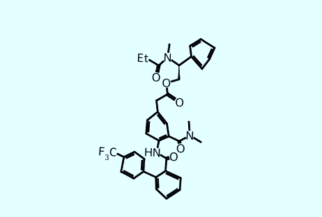 CCC(=O)N(C)[C@H](COC(=O)Cc1ccc(NC(=O)c2ccccc2-c2ccc(C(F)(F)F)cc2)c(C(=O)N(C)C)c1)c1ccccc1